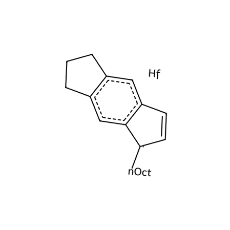 CCCCCCCC[C]1C=Cc2cc3c(cc21)CCC3.[Hf]